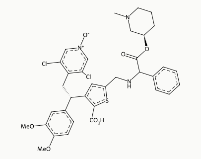 COc1ccc([C@H](Cc2c(Cl)c[n+]([O-])cc2Cl)c2cc(CNC(C(=O)O[C@@H]3CCCN(C)C3)c3ccccc3)sc2C(=O)O)cc1OC